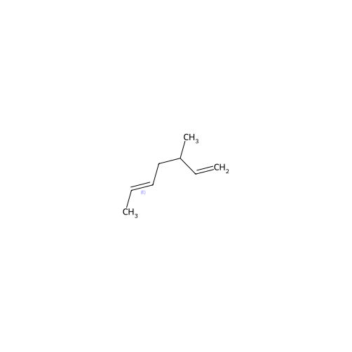 C=CC(C)C/C=C/C